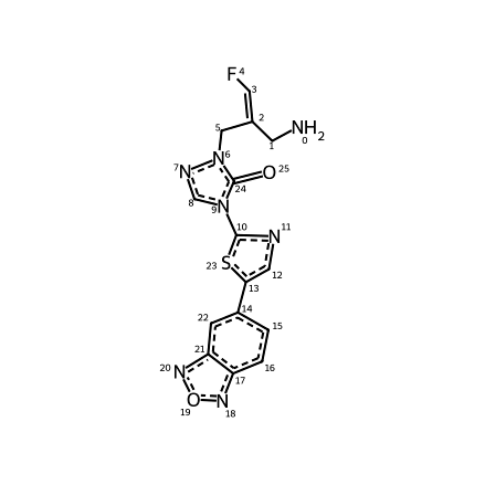 NC/C(=C/F)Cn1ncn(-c2ncc(-c3ccc4nonc4c3)s2)c1=O